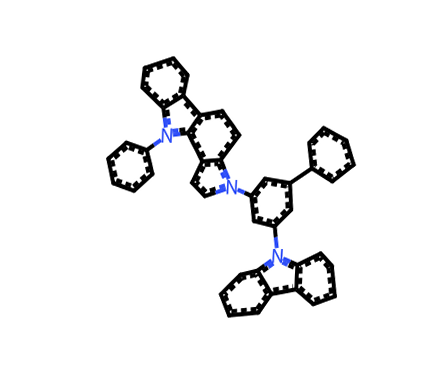 c1ccc(-c2cc(-n3ccc4c3ccc3c5ccccc5n(-c5ccccc5)c34)cc(-n3c4ccccc4c4ccccc43)c2)cc1